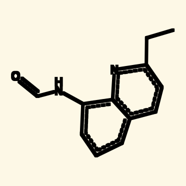 CCc1ccc2cccc(NC=O)c2n1